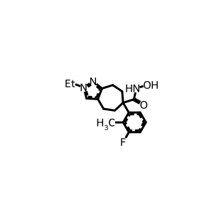 CCn1cc2c(n1)CCC(C(=O)NO)(c1cccc(F)c1C)CC2